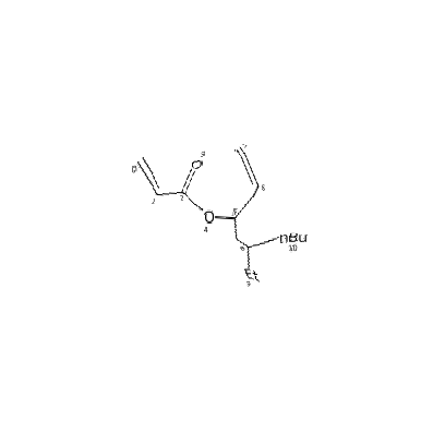 C=CC(=O)OC(C=C)C(CC)CCCC